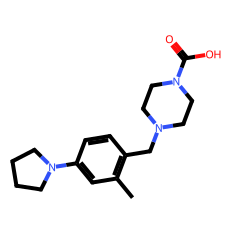 Cc1cc(N2CCCC2)ccc1CN1CCN(C(=O)O)CC1